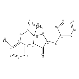 CC1Cc2c(Cl)cccc2C2C(=O)N(Cc3ccccc3)CC12C